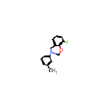 Cc1cccc(N2COc3c(F)cccc3C2)c1